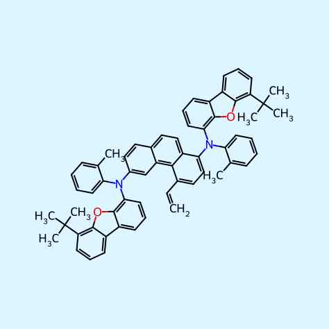 C=Cc1ccc(N(c2ccccc2C)c2cccc3c2oc2c(C(C)(C)C)cccc23)c2ccc3ccc(N(c4ccccc4C)c4cccc5c4oc4c(C(C)(C)C)cccc45)cc3c12